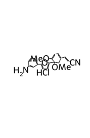 COC1=CC=C(C=CC#N)CC1(OC)c1ccc(-c2cccc(N)c2)o1.Cl